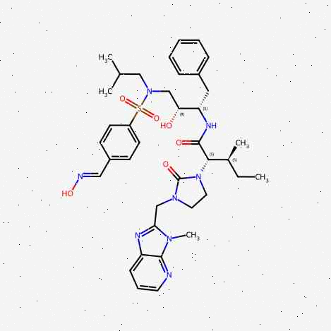 CC[C@H](C)[C@@H](C(=O)N[C@@H](Cc1ccccc1)[C@H](O)CN(CC(C)C)S(=O)(=O)c1ccc(C=NO)cc1)N1CCN(Cc2nc3cccnc3n2C)C1=O